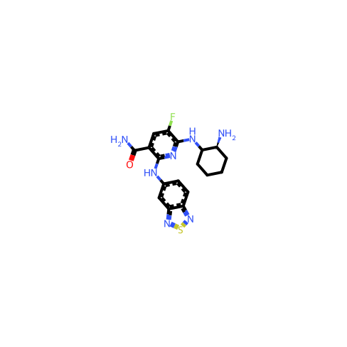 NC(=O)c1cc(F)c(NC2CCCC[C@@H]2N)nc1Nc1ccc2nsnc2c1